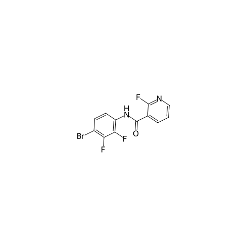 O=C(Nc1ccc(Br)c(F)c1F)c1cccnc1F